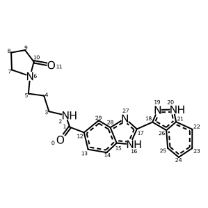 O=C(NCCCN1CCCC1=O)c1ccc2[nH]c(-c3n[nH]c4ccccc34)nc2c1